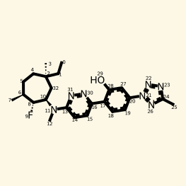 CC[C@]1(C)CC[C@H](C)[C@@H](F)[C@H](N(C)c2ccc(-c3ccc(-n4nnc(C)n4)cc3O)nn2)C1